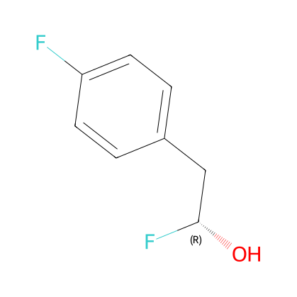 O[C@H](F)Cc1ccc(F)cc1